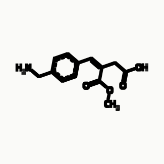 COC(=O)C(=Cc1ccc(CN)cc1)CC(=O)O